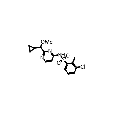 COC(c1nccc(NS(=O)(=O)c2cccc(Cl)c2C)n1)C1CC1